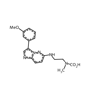 COc1cccc(-c2cnc3ccc(NCCN(C)C(=O)O)nn23)c1